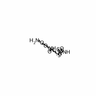 CN1C(=O)C(=N)C2CS[C@@H](CCCCC(=O)NCCOCCOCCN)C21